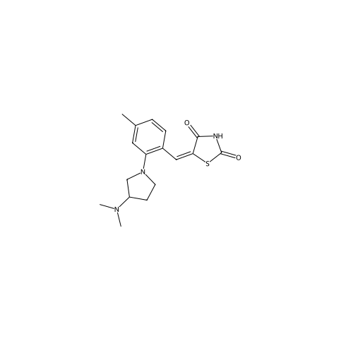 Cc1ccc(C=C2SC(=O)NC2=O)c(N2CCC(N(C)C)C2)c1